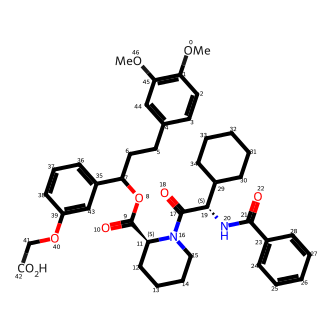 COc1ccc(CCC(OC(=O)[C@@H]2CCCCN2C(=O)[C@@H](NC(=O)c2ccccc2)C2CCCCC2)c2cccc(OCC(=O)O)c2)cc1OC